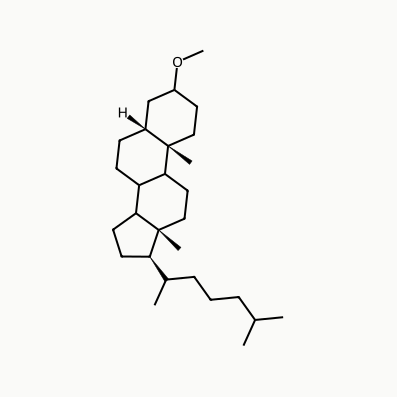 COC1CC[C@]2(C)C3CC[C@@]4(C)C(CC[C@@H]4C(C)CCCC(C)C)C3CC[C@@H]2C1